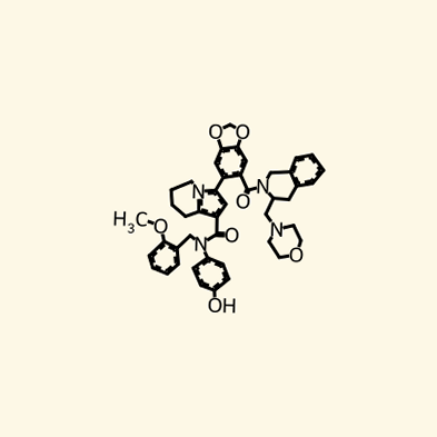 COc1ccccc1CN(C(=O)c1cc(-c2cc3c(cc2C(=O)N2Cc4ccccc4CC2CN2CCOCC2)OCO3)n2c1CCCC2)c1ccc(O)cc1